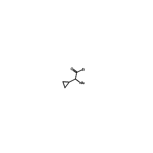 CCCCC(C(=O)CC)C1CC1